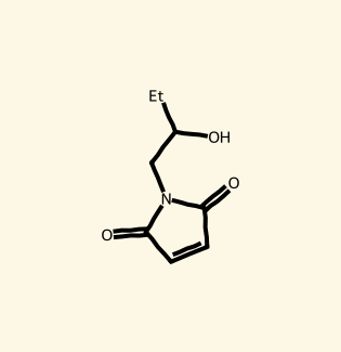 CCC(O)CN1C(=O)C=CC1=O